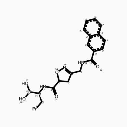 CC(C)C[C@H](NC(=O)C1CC(CNC(=O)c2ccc3ccccc3c2)=NO1)B(O)O